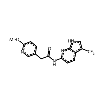 COc1ccc(CC(=O)Nc2ccc3c(C(F)(F)F)c[nH]c3n2)cn1